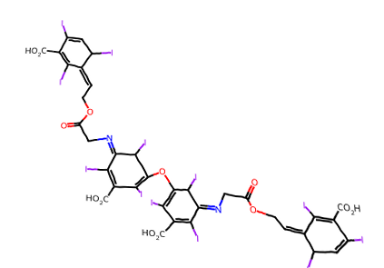 O=C(CN=C1C(I)=C(C(=O)O)C(I)=C(OC2=C(I)C(C(=O)O)=C(I)C(=NCC(=O)OCC=C3C(I)=C(C(=O)O)C(I)=CC3I)C2I)C1I)OCC=C1C(I)=C(C(=O)O)C(I)=CC1I